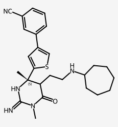 CN1C(=N)N[C@](C)(c2cc(-c3cccc(C#N)c3)cs2)C(CCNC2CCCCCC2)C1=O